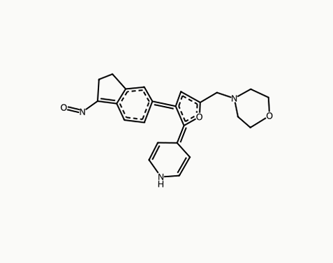 O=NC1=c2ccc(=c3cc(CN4CCOCC4)oc3=C3C=CNC=C3)cc2CC1